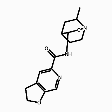 CC1CC2CCN1CC2NC(=O)c1cc2c(cn1)OCC2